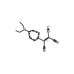 [C-]#[N+]/C(C#N)=C(/C#N)c1ccc(N(CC)CC)cc1